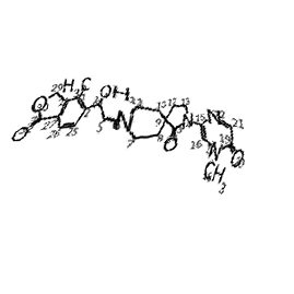 Cc1c([C@@H](O)CN2CCC3(CC2)CCN(c2cn(C)c(=O)cn2)C3=O)ccc2c1COC2=O